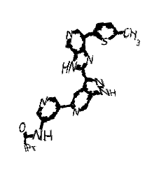 Cc1ccc(-c2cncc3[nH]c(-c4n[nH]c5cnc(-c6cncc(NC(=O)C(C)C)c6)cc45)nc23)s1